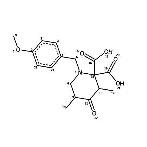 COc1ccc(CN2CC(C)C(=O)C(C)C2(C(=O)O)C(=O)O)cc1